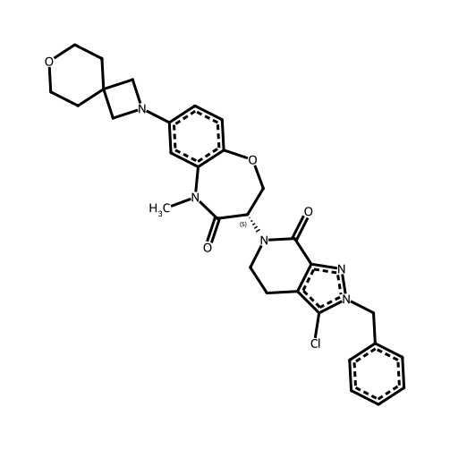 CN1C(=O)[C@@H](N2CCc3c(nn(Cc4ccccc4)c3Cl)C2=O)COc2ccc(N3CC4(CCOCC4)C3)cc21